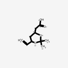 C=CC1CC(CC(=O)O)OC(C)(C)O1